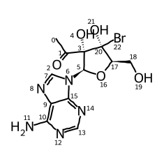 CC(=O)[C@]1(O)[C@H](n2cnc3c(N)ncnc32)O[C@H](CO)[C@]1(O)Br